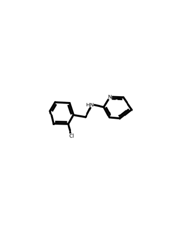 Clc1ccccc1CNc1ccccn1